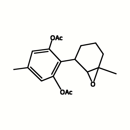 CC(=O)Oc1cc(C)cc(OC(C)=O)c1C1CCCC2(C)OC12